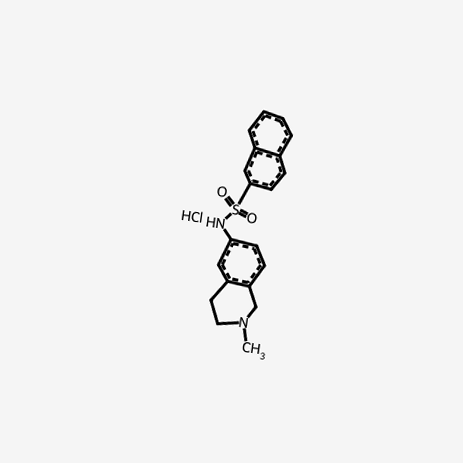 CN1CCc2cc(NS(=O)(=O)c3ccc4ccccc4c3)ccc2C1.Cl